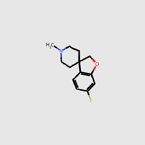 CN1CCC2(CC1)COc1cc(F)ccc12